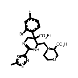 CCOC(=O)C1(c2ccc(F)cc2Br)CN=C(c2nnc(C)s2)NC1CN1CCOCC1C(=O)O